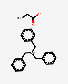 CCC(=O)[O-].c1ccc([CH2][Sn+]([CH2]c2ccccc2)[CH2]c2ccccc2)cc1